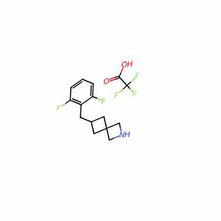 Fc1cccc(F)c1CC1CC2(CNC2)C1.O=C(O)C(F)(F)F